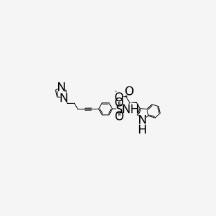 COC(=O)[C@@H](Cc1c[nH]c2ccccc12)NS(=O)(=O)c1ccc(C#CCCCn2ccnc2)cc1